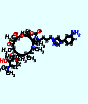 CCO[C@@H](O[C@@H]1[C@@H](C)C(=O)[C@](C)(F)C(=O)O[C@H](CC)[C@@]2(C)OC(=O)N(CCCCn3cc(-c4cccc(N)c4)nn3)[C@@H]2[C@@H](C)N(C)C[C@H](C)C[C@@]1(C)OC)C(O)C(CC)N(C)C